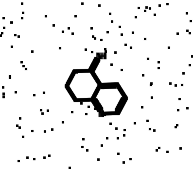 N=C1CCCc2ncccc21